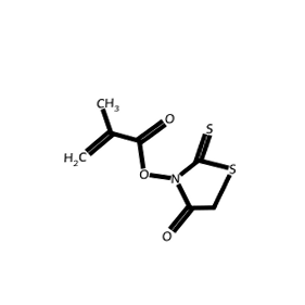 C=C(C)C(=O)ON1C(=O)CSC1=S